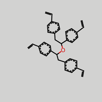 C=Cc1ccc(CC(OC(Cc2ccc(C=C)cc2)c2ccc(C=C)cc2)c2ccc(C=C)cc2)cc1